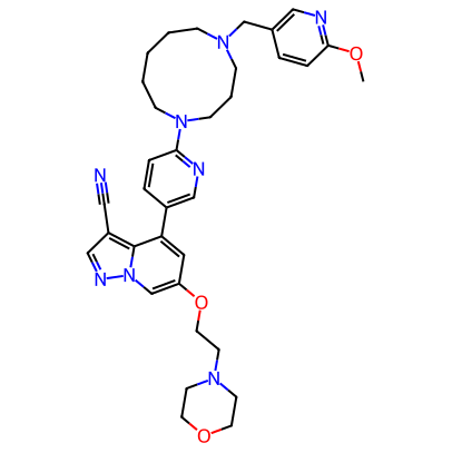 COc1ccc(CN2CCCCCN(c3ccc(-c4cc(OCCN5CCOCC5)cn5ncc(C#N)c45)cn3)CCC2)cn1